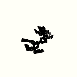 COc1cc(-c2cnc3[nH]cc(C(=O)C4(C)CCCN4C(C)=O)c3n2)cc(OC)c1OC